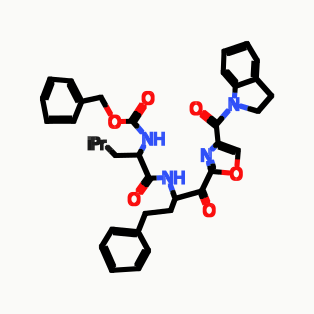 CC(C)CC(NC(=O)OCc1ccccc1)C(=O)NC(CCc1ccccc1)C(=O)c1nc(C(=O)N2CCc3ccccc32)co1